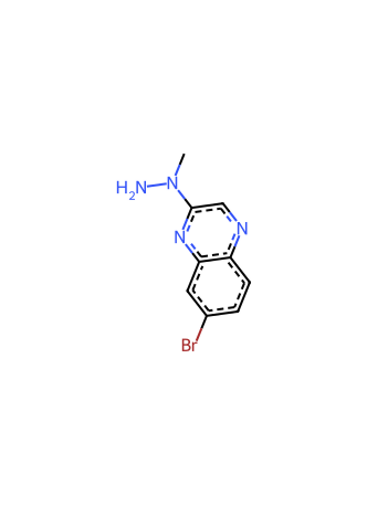 CN(N)c1cnc2ccc(Br)cc2n1